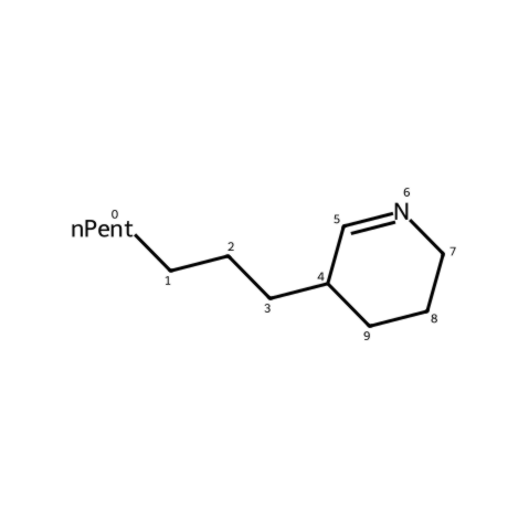 CCCCCCCCC1C=NCCC1